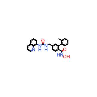 Cc1ccccc1-c1cc(CNC(=O)Nc2cccc3cccnc23)ccc1C(=O)NO